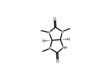 CN1C(=O)N[C@H]2[C@@H]1N(C)C(=O)N2C